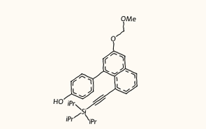 COCOc1cc(-c2ccc(O)cc2)c2c(C#C[Si](C(C)C)(C(C)C)C(C)C)cccc2c1